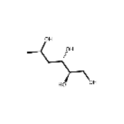 C[C@@H](O)C[C@H](O)[C@H](O)CO